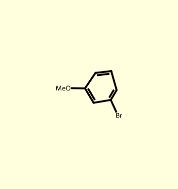 [CH2-][OH+]c1cccc(Br)c1